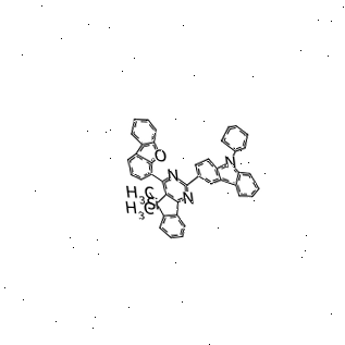 C[Si]1(C)c2ccccc2-c2nc(-c3ccc4c(c3)c3ccccc3n4-c3ccccc3)nc(-c3cccc4c3oc3ccccc34)c21